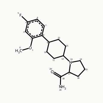 COc1cc(F)ccc1C1CCC(N2CC[CH]C2C(N)=O)CC1